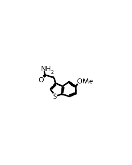 COc1ccc2scc(CC(N)=O)c2c1